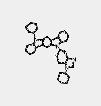 c1ccc(-n2cnc3nc(-n4c5ccccc5c5cc6c(cc54)c4ccccc4n6-c4ccccc4)ncc32)cc1